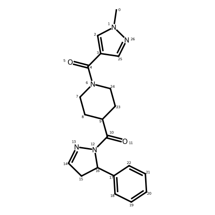 Cn1cc(C(=O)N2CCC(C(=O)N3N=CCC3c3ccccc3)CC2)cn1